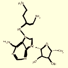 C[C@H]1O[C@@H](N2CN(NC(CN)CCN)c3c(N)ncnc32)C(O)C1O